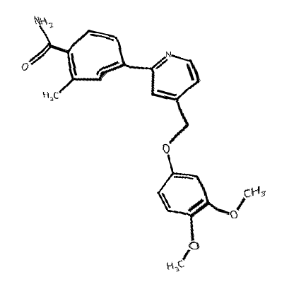 COc1ccc(OCc2ccnc(-c3ccc(C(N)=O)c(C)c3)c2)cc1OC